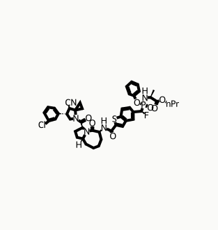 CCCOC(=O)[C@H](C)NP(=O)(Oc1ccccc1)[C@@H](F)c1ccc2sc(C(=O)N[C@H]3CCCC[C@H]4CC[C@@H](C(=O)N5C[C@H](c6cccc(Cl)c6)[C@@H](C#N)C56CC6)N4C3=O)cc2c1